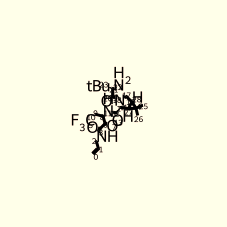 C=CCNC(=O)C(=O)C(CC(F)(F)F)NC(=O)[C@@H]1[C@@H]2[C@H](CN1C(=O)[C@@H](N)C(C)(C)C)C2(C)C